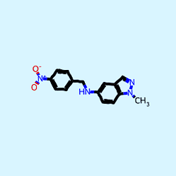 Cn1ncc2cc(NCc3ccc([N+](=O)[O-])cc3)ccc21